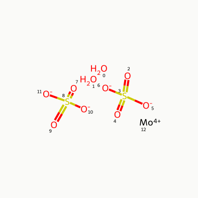 O.O.O=S(=O)([O-])[O-].O=S(=O)([O-])[O-].[Mo+4]